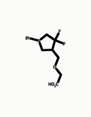 CC(C)N1CC(COCC(=O)O)C(F)(F)C1